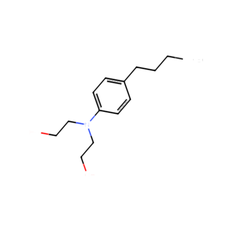 CCOC(=O)CCCc1ccc(N(CCO)CCO)cc1